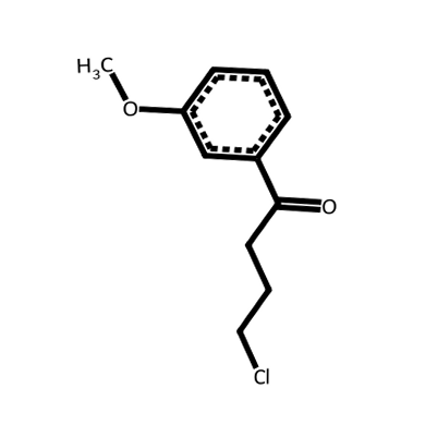 COc1cccc(C(=O)CCCCl)c1